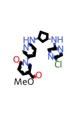 COC(=O)c1ccc(=O)n(-c2ccc(N[C@H]3CC[C@H](Nc4cnc(Cl)cn4)C3)nc2)c1